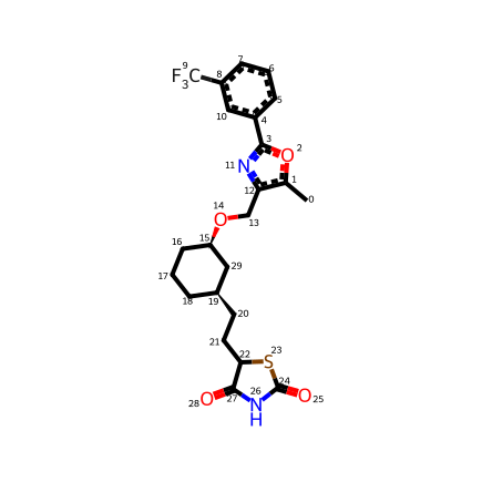 Cc1oc(-c2cccc(C(F)(F)F)c2)nc1CO[C@@H]1CCC[C@H](CCC2SC(=O)NC2=O)C1